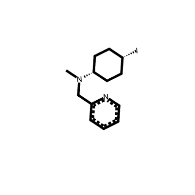 CN(Cc1ccccn1)[C@H]1CC[C@@H](I)CC1